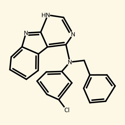 Clc1cccc(N(Cc2ccccc2)c2nc[nH]c3nc4ccccc4c2-3)c1